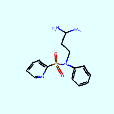 NC(N)CCN(c1ccccc1)S(=O)(=O)c1c[c]ccn1